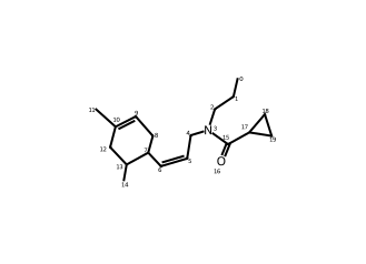 CCCN(C/C=C\C1CC=C(C)CC1C)C(=O)C1CC1